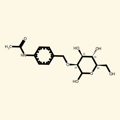 CC(=O)Nc1ccc(CO[C@@H]2C(O)O[C@H](CO)[C@@H](O)[C@@H]2O)cc1